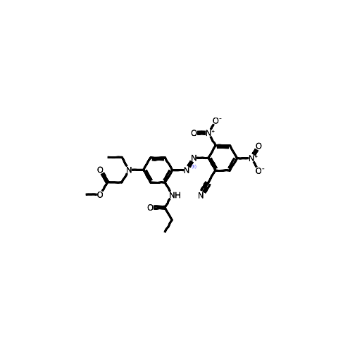 CCC(=O)Nc1cc(N(CC)CC(=O)OC)ccc1/N=N/c1c(C#N)cc([N+](=O)[O-])cc1[N+](=O)[O-]